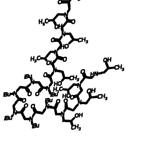 CCC(C)N(CC(=O)N(CC(=O)N(CC(=O)N(CC(=O)N(CC(N)=O)CC(C)O)CC(C)O)CC(C)O)CC(C)O)C(=O)CN(C(=O)CN(C(=O)CN(C(=O)CN(C(=O)CN(C(=O)CN(CC(C)O)C(=O)CN(CC(C)O)C(=O)CN(CC(C)O)C(=O)CNCC(C)O)C(C)CC)C(C)CC)C(C)CC)C(C)CC)C(C)CC